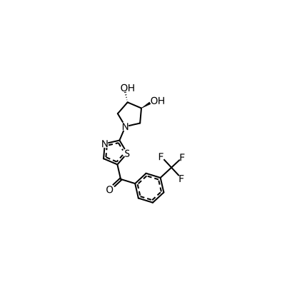 O=C(c1cccc(C(F)(F)F)c1)c1cnc(N2C[C@H](O)[C@@H](O)C2)s1